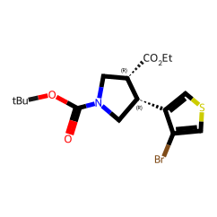 CCOC(=O)[C@H]1CN(C(=O)OC(C)(C)C)C[C@H]1c1cscc1Br